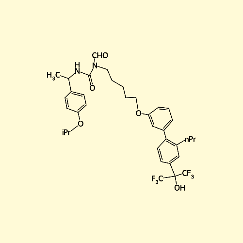 CCCc1cc(C(O)(C(F)(F)F)C(F)(F)F)ccc1-c1cccc(OCCCCCN(C=O)C(=O)NC(C)c2ccc(OC(C)C)cc2)c1